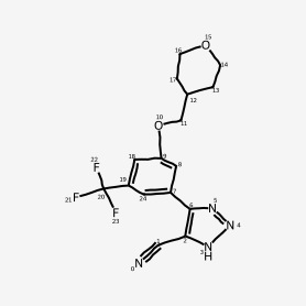 N#Cc1[nH]nnc1-c1cc(OCC2CCOCC2)cc(C(F)(F)F)c1